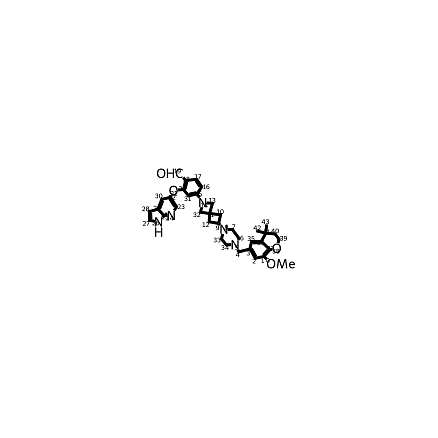 COc1cc(CN2CCN(C3CC4(C3)CN(c3ccc(C=O)c(Oc5cnc6[nH]ccc6c5)c3)C4)CC2)cc2c1OCCC2(C)C